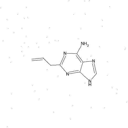 C=CCc1nc(N)c2nc[nH]c2n1